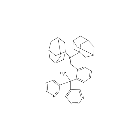 PC(c1cccnc1)(c1cccnc1)c1ccccc1CP(C12CC3CC(CC(C3)C1)C2)C12CC3CC(CC(C3)C1)C2